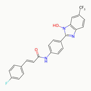 O=C(/C=C/c1ccc(F)cc1)Nc1ccc(-c2nc3ccc(C(F)(F)F)cc3n2O)cc1